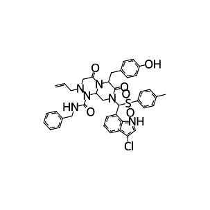 C=CCN1CC(=O)N2C(Cc3ccc(O)cc3)C(=O)N(C(c3cccc4c(Cl)c[nH]c34)S(=O)(=O)c3ccc(C)cc3)CC2N1C(=O)NCc1ccccc1